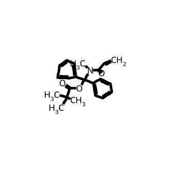 C=CC(=O)N(C)C(OC(=O)C(C)(C)C)(c1ccccc1)c1ccccc1